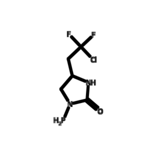 O=C1NC(CC(F)(F)Cl)CN1P